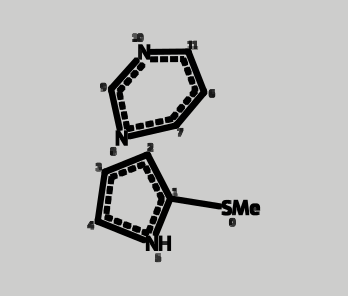 CSc1ccc[nH]1.c1cncnc1